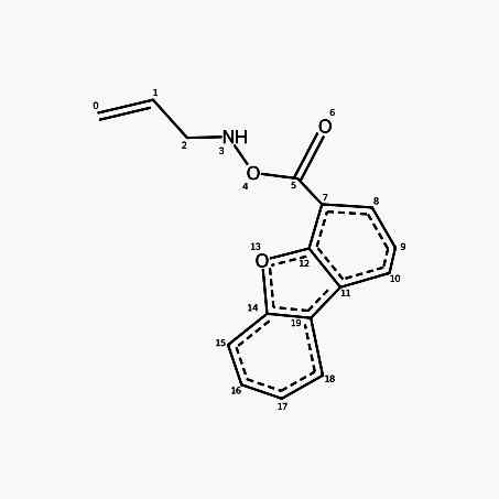 C=CCNOC(=O)c1cccc2c1oc1ccccc12